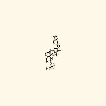 Cc1cc(Nc2ncnc3cnc(N4CC[C@@](C)(O)C4)nc23)c(F)cc1Oc1ccc2c(c1)ncn2C